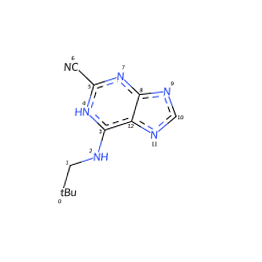 CC(C)(C)CNc1[nH]c(C#N)nc2ncnc1-2